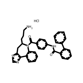 Cl.NCCCC1Cc2scnc2-c2ccccc2N1C(=O)c1ccc(NC(=O)c2ccccc2-c2ccccc2)cc1